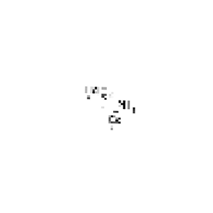 P.S.[Cd].[Hg]